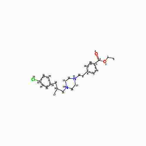 CCOC(=O)c1ccc(CCN2CCN(CC(C)Cc3ccc(Cl)cc3)CC2)cc1